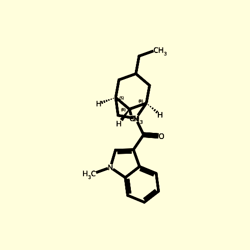 CCC1C[C@@H]2CN(C(=O)c3cn(C)c4ccccc34)[C@H](C1)[C@@H]2C